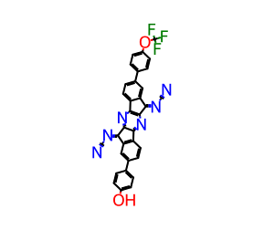 N#C/N=c1\c2cc(-c3ccc(O)cc3)ccc2c2nc3/c(=N/C#N)c4cc(-c5ccc(OC(F)(F)F)cc5)ccc4c3nc12